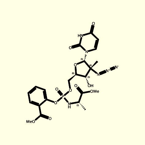 COC(=O)c1ccccc1OP(=O)(N[C@@H](C)C(=O)OC)OC[C@H]1O[C@H](n2ccc(=O)[nH]c2=O)[C@](C)(N=[N+]=[N-])[C@@H]1O